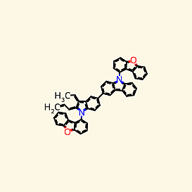 C=C/C=c1\c(=C/C)c2cc(-c3ccc4c(c3)c3ccccc3n4-c3cccc4oc5ccccc5c34)ccc2n1-c1cccc2oc3ccccc3c12